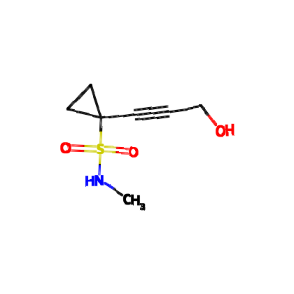 CNS(=O)(=O)C1(C#CCO)CC1